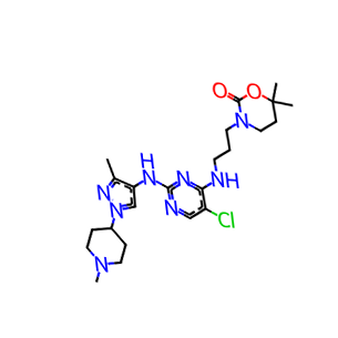 Cc1nn(C2CCN(C)CC2)cc1Nc1ncc(Cl)c(NCCCN2CCC(C)(C)OC2=O)n1